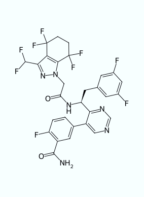 NC(=O)c1cc(-c2cncnc2[C@H](Cc2cc(F)cc(F)c2)NC(=O)Cn2nc(C(F)F)c3c2C(F)(F)CCC3(F)F)ccc1F